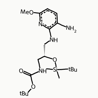 COc1ccc(N)c(NC[C@@H](CNC(=O)OC(C)(C)C)O[Si](C)(C)C(C)(C)C)n1